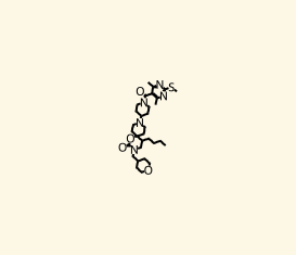 CCCCC1CN(CC2CCOCC2)C(=O)OC12CCN(C1CCN(C(=O)c3c(C)nc(SC)nc3C)CC1)CC2